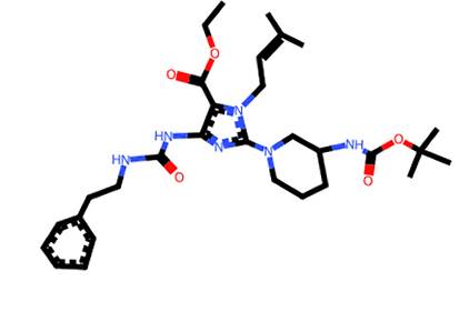 CCOC(=O)c1c(NC(=O)NCCc2ccccc2)nc(N2CCCC(NC(=O)OC(C)(C)C)C2)n1CC=C(C)C